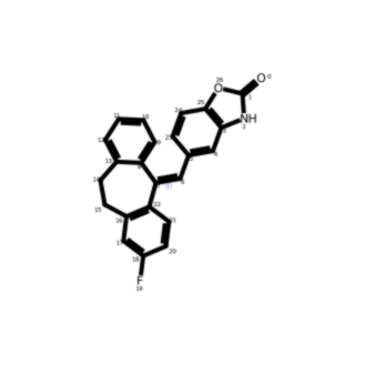 O=c1[nH]c2cc(/C=C3\c4ccccc4CCc4cc(F)ccc43)ccc2o1